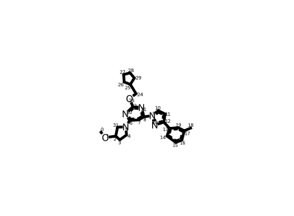 COC1CCN(c2cc(-n3ccc(-c4cccc(C)c4)n3)nc(OCC3CCCC3)n2)C1